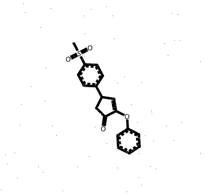 CS(=O)(=O)c1ccc(C2C=C(Oc3ccccc3)C(=O)C2)cc1